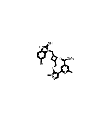 COC(=O)c1cc(C)nc(-c2cnn(C)c2OCC2CC(Cn3c(=N)[nH]c4ccc(Br)cc43)C2)c1